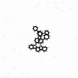 c1ccc(-c2nc(-c3ccccc3)nc(-c3ccc(-n4c5ccccc5c5ccc6c7ccccc7n(-c7ccc(-c8ccccc8)c(-c8ccccc8)c7)c6c54)cc3)n2)cc1